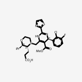 COC(=O)C1=C(CN2CCO[C@H](C(C)C)[C@H]2CCC(=O)O)NC(c2nccs2)=N[C@H]1c1cccc(F)c1Cl